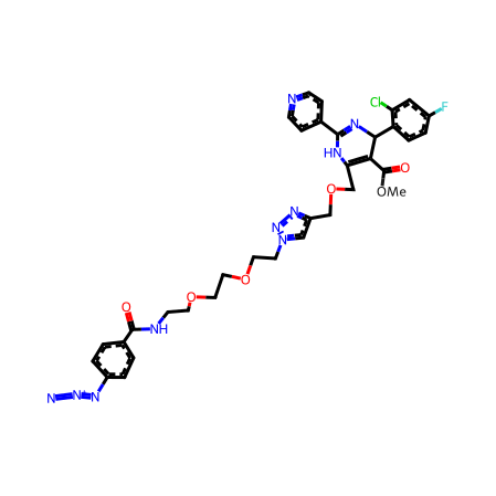 COC(=O)C1=C(COCc2cn(CCOCCOCCNC(=O)c3ccc(N=[N+]=[N-])cc3)nn2)NC(c2ccncc2)=NC1c1ccc(F)cc1Cl